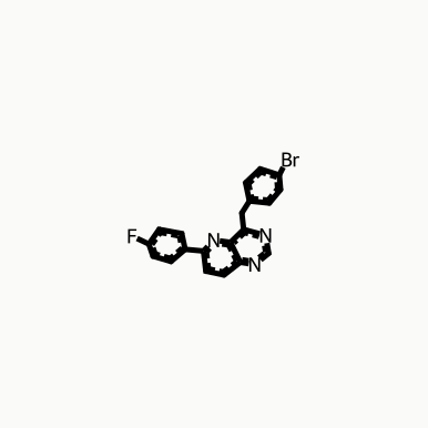 Fc1ccc(-c2ccc3ncnc(Cc4ccc(Br)cc4)c3n2)cc1